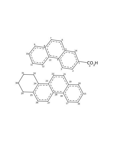 O=C(O)c1ccc2c(ccc3ccccc32)c1.c1ccc2c(c1)ccc1c3c(ccc12)CCCC3